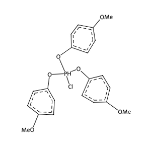 COc1ccc(O[PH](Cl)(Oc2ccc(OC)cc2)Oc2ccc(OC)cc2)cc1